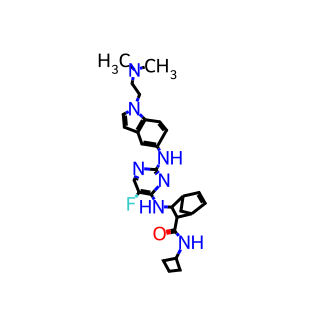 CN(C)CCn1ccc2cc(Nc3ncc(F)c(NC4C5C=CC(C5)C4C(=O)NC4CCC4)n3)ccc21